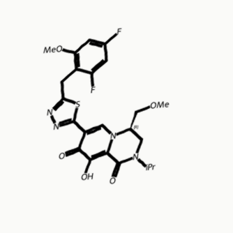 COC[C@H]1CN(C(C)C)C(=O)c2c(O)c(=O)c(-c3nnc(Cc4c(F)cc(F)cc4OC)s3)cn21